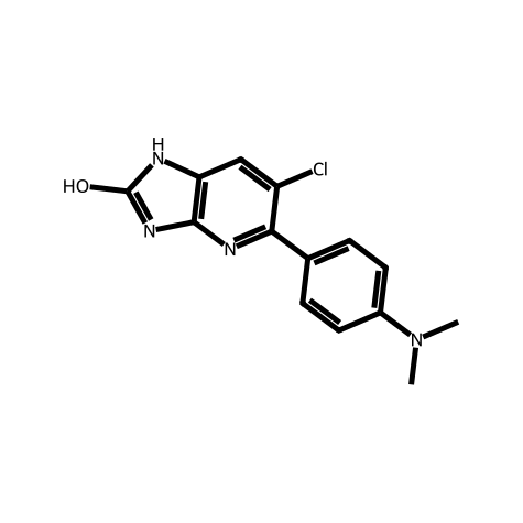 CN(C)c1ccc(-c2nc3nc(O)[nH]c3cc2Cl)cc1